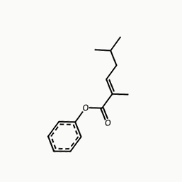 CC(=CCC(C)C)C(=O)Oc1ccccc1